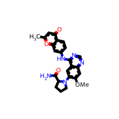 COc1cc2ncnc(Nc3ccc4c(=O)cc(C)oc4c3)c2cc1N1CCCC1C(N)=O